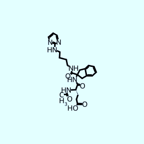 CC(=O)N[C@@H](CCC(=O)O)C(=O)NC1(C(=O)NCCCCNc2ncccn2)Cc2ccccc2C1